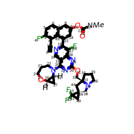 C#Cc1c(F)ccc2cc(OC(=O)NC)cc(-c3ncc4c(N5CCCO[C@@H]6C[C@@H]65)nc(OC[C@@]56CCCN5C[C@@]5(CC5(F)F)C6)nc4c3F)c12